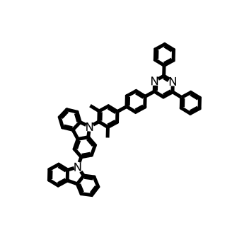 Cc1cc(-c2ccc(-c3cc(-c4ccccc4)nc(-c4ccccc4)n3)cc2)cc(C)c1-n1c2ccccc2c2cc(-n3c4ccccc4c4ccccc43)ccc21